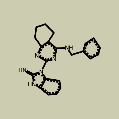 N=c1[nH]c2ccccc2n1-c1nc2c(c(NCc3ccccc3)n1)CCCC2